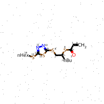 C=CC(=O)SC(CCCC)CSc1nnc(SCCCCCC)s1